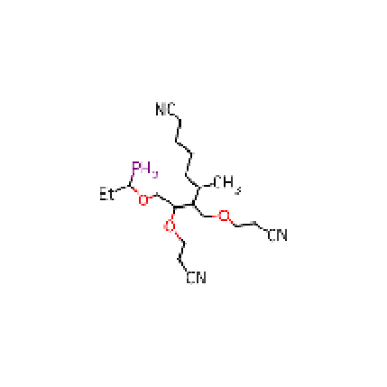 CCC(P)OCC(OCCC#N)C(COCCC#N)C(C)CCCCC#N